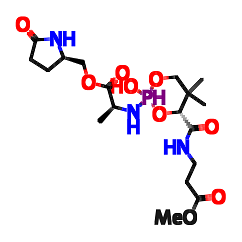 COC(=O)CCNC(=O)[C@@H]1O[PH](O)(N[C@@H](C)C(=O)OC[C@H]2CCC(=O)N2)OCC1(C)C